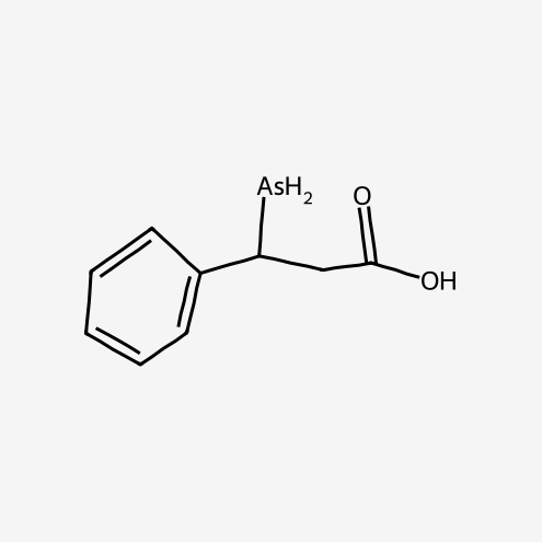 O=C(O)CC([AsH2])c1ccccc1